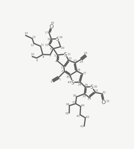 C#Cc1c2cc(C3(CC(CC)CCCC)C=C(C=O)SC3)sc2c(C#C)c2cc(-c3sc(C=O)cc3CC(CC)CCCC)sc12